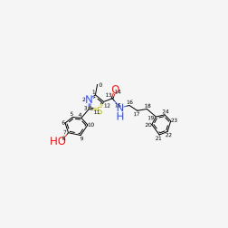 Cc1nc(-c2ccc(O)cc2)sc1C(=O)NCCCc1ccccc1